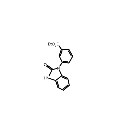 CCOC(=O)c1cccc(-n2c(=O)[nH]c3ccccc32)c1